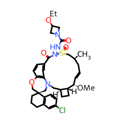 CCOC1CN(C(=O)N[S@@]2(=O)=NC(=O)c3ccc4c(c3)N(C[C@@H]3CC[C@H]3[C@@H](OC)/C=C/C[C@H](C)C2)C[C@@]2(CCCc3cc(Cl)ccc32)CO4)C1